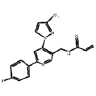 C=CC(=O)NCc1cnc(-c2ccc(F)cc2)cc1-n1ccc(C(F)(F)F)n1